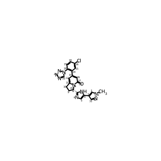 Cn1cc(-c2cnc([C@@H]3CCc4cc(-c5cc(Cl)ccc5-n5cnnn5)cc(=O)n43)[nH]2)cn1